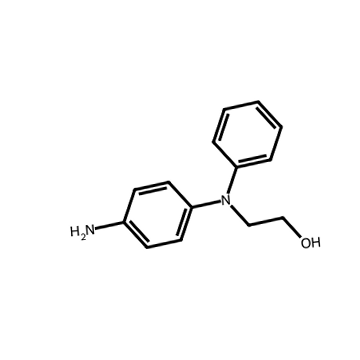 Nc1ccc(N(CCO)c2ccccc2)cc1